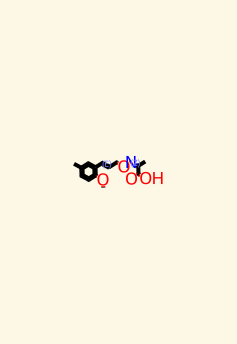 COc1ccc(C)cc1/C=C/CO/N=C(/C)C(=O)O